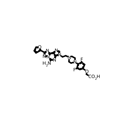 Nc1nc2c(ncn2CCN2CCN(c3c(F)cc(OCC(=O)O)cc3F)CC2)c2nc(-c3ccco3)nn12